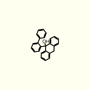 OC1(c2ccccc2-c2ccccc2)c2ccccc2Cc2ccccc21